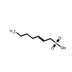 CCCC/C=C/CS(=O)(=O)O